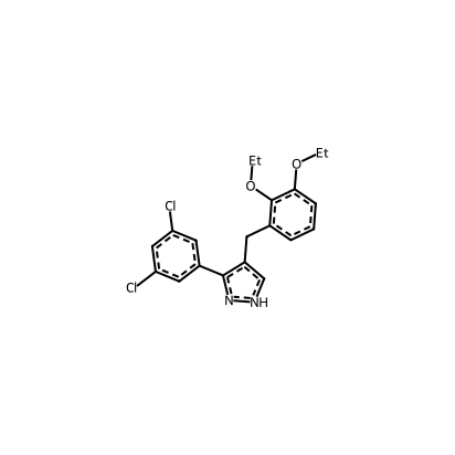 CCOc1cccc(Cc2c[nH]nc2-c2cc(Cl)cc(Cl)c2)c1OCC